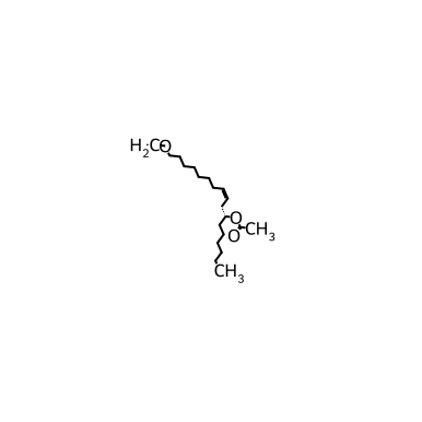 [CH2]OCCCCCCC/C=C\C[C@@H](CCCCCC)OC(C)=O